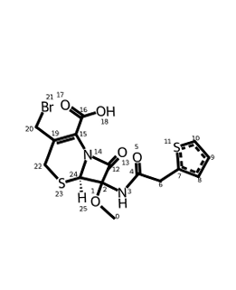 COC1(NC(=O)Cc2cccs2)C(=O)N2C(C(=O)O)=C(CBr)CS[C@@H]21